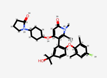 CCc1c(-c2cc(C(C)(C)O)ccc2Oc2c(C)cc(F)cc2C)c(OC2CCC(N3CCCC3=O)CC2)cc(=O)n1C